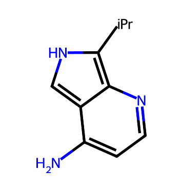 CC(C)c1[nH]cc2c(N)ccnc12